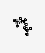 c1ccc(-c2cc(-c3ccccc3)c3c(c2)-c2cccc(-c4cccc(-n5c6ccccc6c6c7c8ccccc8n(-c8nc(-c9ccccc9)nc(-c9ccccc9)n8)c7ccc65)c4)c2C3)cc1